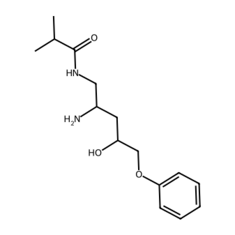 CC(C)C(=O)NCC(N)CC(O)COc1ccccc1